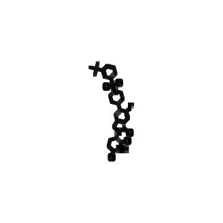 CC(C)(C)c1cccc(S(=O)(=O)N2CCC(c3cc4c(cc3F)C(=O)N(C3CCC(=O)NC3=O)C4)CC2)c1